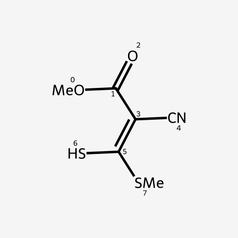 COC(=O)C(C#N)=C(S)SC